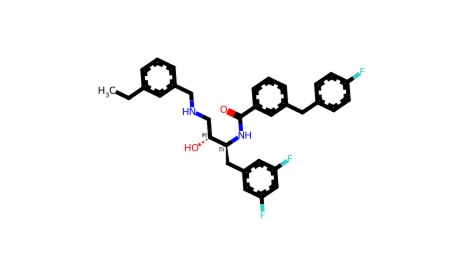 CCc1cccc(CNC[C@@H](O)[C@H](Cc2cc(F)cc(F)c2)NC(=O)c2cccc(Cc3ccc(F)cc3)c2)c1